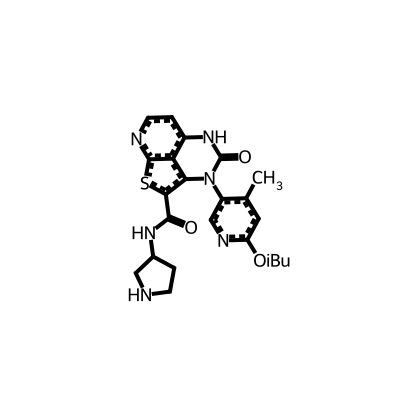 Cc1cc(OCC(C)C)ncc1N1C(=O)Nc2ccnc3sc(C(=O)NC4CCNC4)c1c23